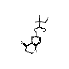 CCC(C)(I)C(=O)Oc1ccc2c(c1)C(=O)CCO2